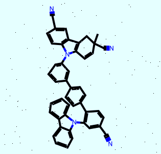 CC1(C#N)C=Cc2c(c3cc(C#N)ccc3n2-c2cccc(-c3ccc(-c4ccc(C#N)cc4-n4c5ccccc5c5ccccc54)cc3)c2)C1